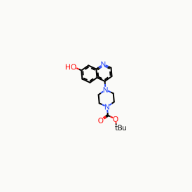 CC(C)(C)OC(=O)N1CCN(c2ccnc3cc(O)ccc23)CC1